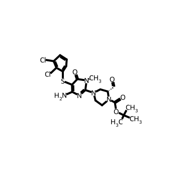 Cn1c(N2CCN(C(=O)OC(C)(C)C)[C@@H](C=O)C2)nc(N)c(Sc2cccc(Cl)c2Cl)c1=O